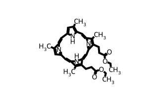 CCOC(=O)CCC1=C(C)c2cc3[nH]c(cc4nc(cc5[nH]c(cc1n2)c(CCC(=O)OCC)c5C)C=C4C)cc3C